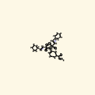 NC(=O)c1cccc(N(S(=O)(=O)/C=C/c2ccccc2)S(=O)(=O)/C=C/c2ccccc2)c1